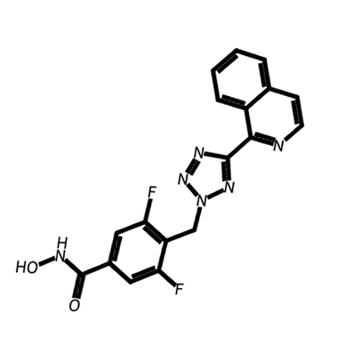 O=C(NO)c1cc(F)c(Cn2nnc(-c3nccc4ccccc34)n2)c(F)c1